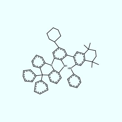 CC1(C)CCC(C)(C)c2cc(-c3cc(C4CCCCC4)cc4c3Bc3cccc5c3N4c3ccccc3C5(c3ccccc3)c3ccccc3)c(Nc3ccccc3)cc21